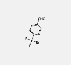 O=Cc1cnc(C(F)(F)Br)nc1